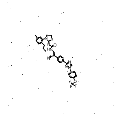 CCCc1ccc(C)cc1N1CCS/C1=N\C(=O)N/C=C(\C#N)c1ccc(-c2ncn(-c3ccc(OC(F)(F)F)cc3)n2)cc1